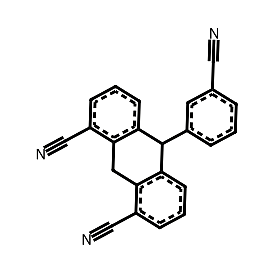 N#Cc1cccc(C2c3cccc(C#N)c3Cc3c(C#N)cccc32)c1